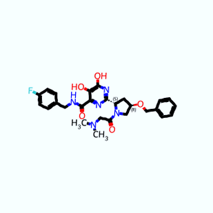 CN(C)CC(=O)N1C[C@H](OCc2ccccc2)C[C@H]1c1nc(O)c(O)c(C(=O)NCc2ccc(F)cc2)n1